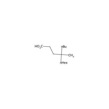 CCCCCCC(C)(CCCC)CCC(=O)O